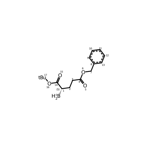 B[C@@H](CCC(=O)OCc1ccccc1)C(=O)OC(C)(C)C